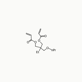 C=CC(=O)OCC(CC)(COCCC)COC(=O)C=C